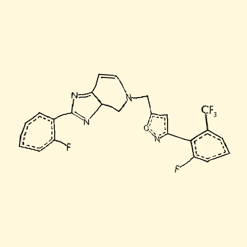 Fc1ccccc1C1=NC2CN(Cc3cc(-c4c(F)cccc4C(F)(F)F)no3)C=CC2=N1